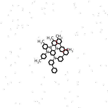 Cc1ccc(-c2cc(C)ccc2N2c3ccc(C)cc3B3c4cc(C)ccc4N(c4ccc(C)cc4)c4cc(N(c5cccc(-c6ccccc6)c5)c5cccc(-c6ccccc6)c5)cc2c43)cc1